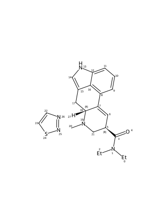 CCN(CC)C(=O)[C@@H]1C=C2c3cccc4[nH]cc(c34)C[C@H]2N(C)C1.[c]1csnn1